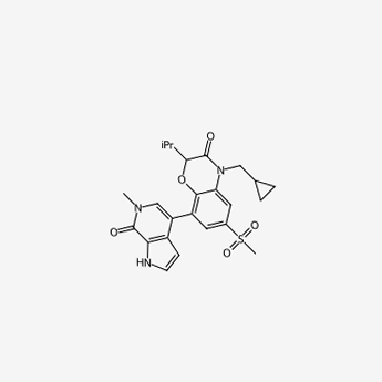 CC(C)C1Oc2c(-c3cn(C)c(=O)c4[nH]ccc34)cc(S(C)(=O)=O)cc2N(CC2CC2)C1=O